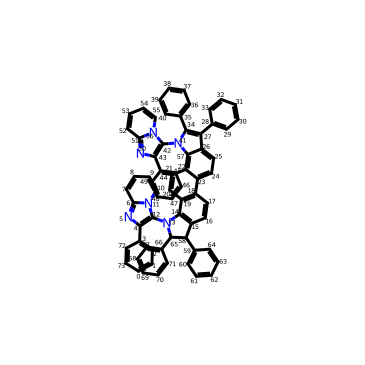 c1ccc(-c2nc3ccccn3c2N2c3c(ccc4c3ccc3c4ccc4c(-c5ccccc5)c(-c5ccccc5)n(-c5c(-c6ccccc6)nc6ccccn56)c43)C(c3ccccc3)C2c2ccccc2)cc1